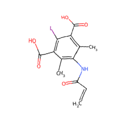 C=CC(=O)Nc1c(C)c(C(=O)O)c(I)c(C(=O)O)c1C